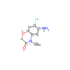 CCCCN1C(=O)COc2cc(F)c(N)cc21